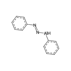 c1ccc(N=[N][AlH][c]2ccccc2)cc1